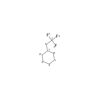 FC(F)(F)CC1[CH]CCCC1